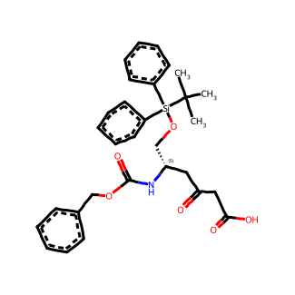 CC(C)(C)[Si](OC[C@H](CC(=O)CC(=O)O)NC(=O)OCc1ccccc1)(c1ccccc1)c1ccccc1